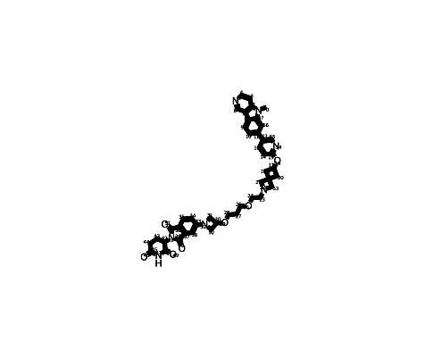 Cn1c2ccncc2c2ccc(-c3ccc(OC4CC5(C4)CN(CCOCCCOC4CN(c6ccc7c(c6)C(=O)N(C6CCC(=O)NC6=O)C7=O)C4)C5)nc3)cc21